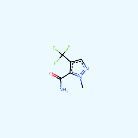 Cn1ncc(C(F)(F)F)c1C(N)=O